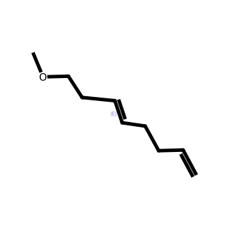 C=CCC/C=C/CCOC